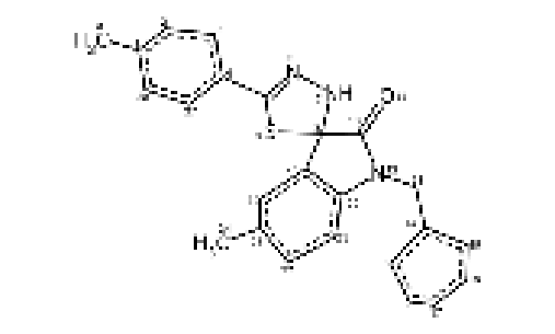 Cc1ccc(C2=NNC3(S2)C(=O)N(Cc2ccccc2)c2ccc(C)cc23)cc1